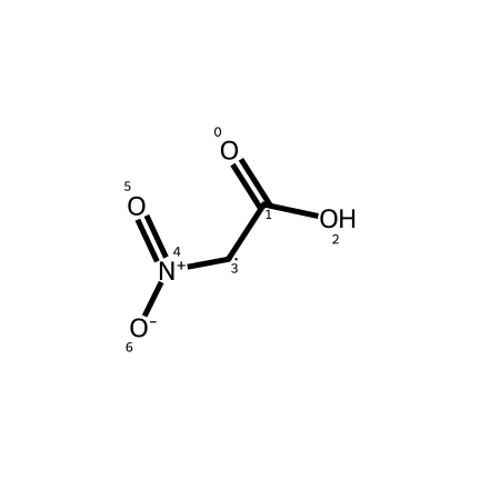 O=C(O)[CH][N+](=O)[O-]